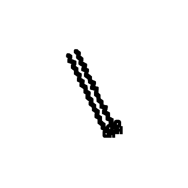 CCCCCCCCCCCCCCCCCCCCCCCCCC(=O)O.CCCCCCCCCCCCCCCCCCCCCCCCCC(=O)O